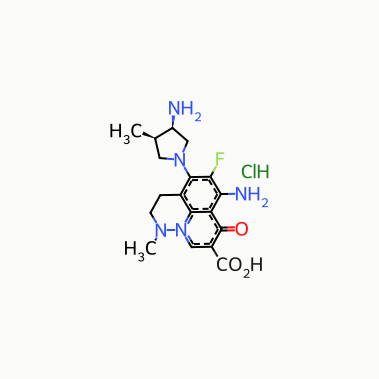 C[C@@H]1CN(c2c(F)c(N)c3c(=O)c(C(=O)O)cn4c3c2CCN4C)C[C@@H]1N.Cl